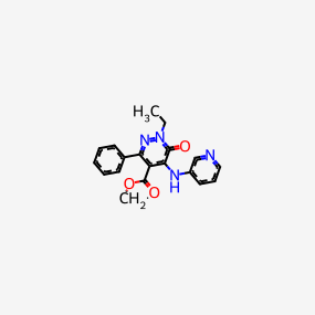 [CH2]OC(=O)c1c(-c2ccccc2)nn(CC)c(=O)c1Nc1cccnc1